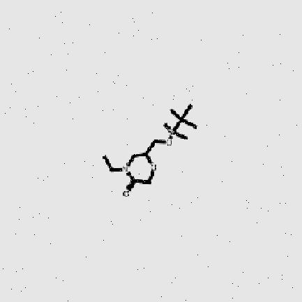 CCN1CC(CO[Si](C)(C)C(C)(C)C)OCC1=O